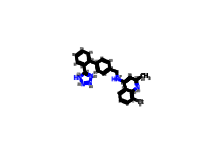 CCc1cccc2c(NCc3ccc(-c4ccccc4-c4nnn[nH]4)cc3)cc(C)nc12